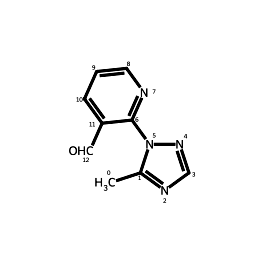 Cc1ncnn1-c1ncccc1C=O